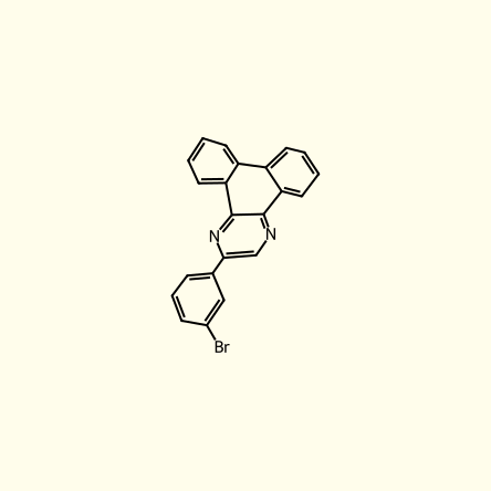 Brc1cccc(-c2cnc3c4ccccc4c4ccccc4c3n2)c1